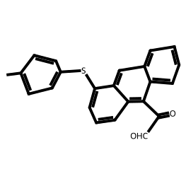 Cc1ccc(Sc2cccc3c(C(=O)C=O)c4ccccc4cc23)cc1